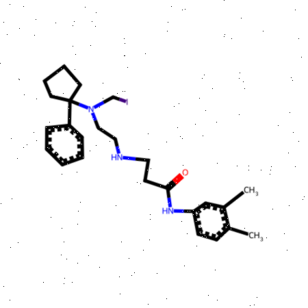 Cc1ccc(NC(=O)CCNCCN(CI)C2(c3ccccc3)CCCC2)cc1C